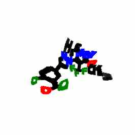 COc1nn(C)c(-n2cc(-c3ccc(Cl)c(C(=O)Cl)c3)cn2)c1C(F)(F)F